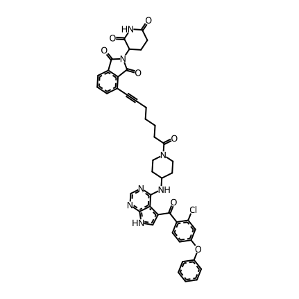 O=C1CCC(N2C(=O)c3cccc(C#CCCCCC(=O)N4CCC(Nc5ncnc6[nH]cc(C(=O)c7ccc(Oc8ccccc8)cc7Cl)c56)CC4)c3C2=O)C(=O)N1